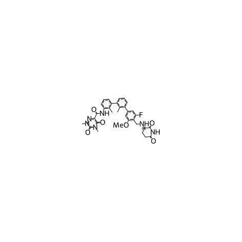 COc1cc(-c2cccc(-c3cccc(NC(=O)c4nn(C)c(=O)n(C)c4=O)c3C)c2C)cc(F)c1CN[C@@H]1CCC(=O)NC1=O